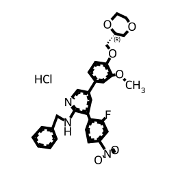 COc1cc(-c2cnc(NCc3ccccc3)c(-c3ccc([N+](=O)[O-])cc3F)c2)ccc1OC[C@H]1COCCO1.Cl